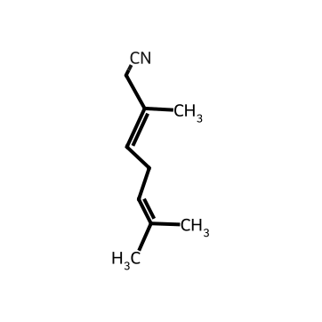 CC(C)=CC/C=C(\C)CC#N